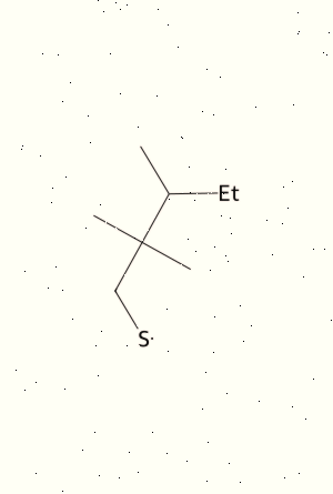 CCC(C)C(C)(C)C[S]